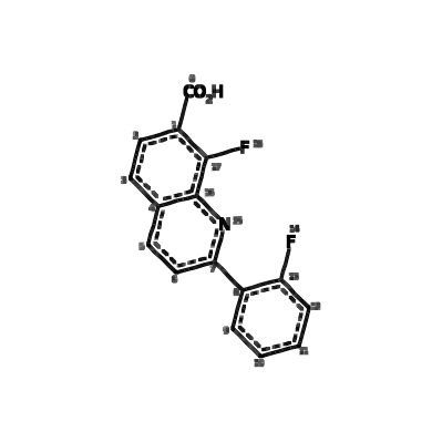 O=C(O)c1ccc2ccc(-c3ccccc3F)nc2c1F